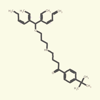 C=C/C=C\C(=C/C)C(OCCCNCCCC(=O)c1ccc(C(C)(C)C)cc1)C(/C=C\CC)=C/C